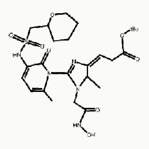 Cc1ccc(NS(=O)(=O)CC2CCCCO2)c(=O)n1C1=NC(=CCC(=O)OC(C)(C)C)C(C)N1CC(=O)NO